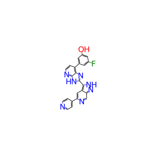 Oc1cc(F)cc(-c2ccnc3[nH]c(-c4[nH]nc5cnc(-c6ccncc6)cc45)nc23)c1